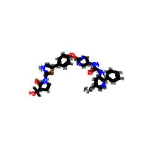 CC(C)(O)C1CCN(c2ncc(-c3ccc(Oc4ncc(NC(=O)Nc5cc(C(F)(F)F)cnc5-c5ccccc5)cn4)cc3)s2)C1=O